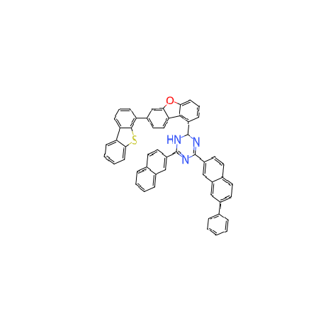 c1ccc(-c2ccc3ccc(C4=NC(c5cccc6oc7cc(-c8cccc9c8sc8ccccc89)ccc7c56)NC(c5ccc6ccccc6c5)=N4)cc3c2)cc1